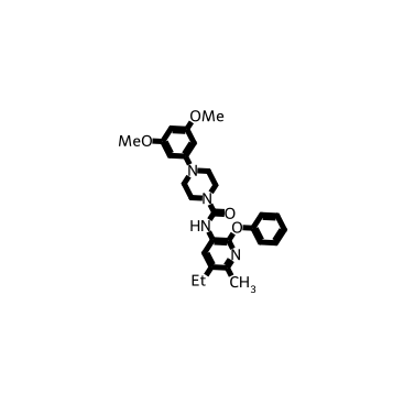 CCc1cc(NC(=O)N2CCN(c3cc(OC)cc(OC)c3)CC2)c(Oc2ccccc2)nc1C